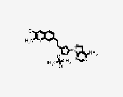 CC(C)(O)O[C@H]1CC(n2ccc3c(N)ncnc32)CC1CCc1ccc2cc(Cl)c(N)nc2c1